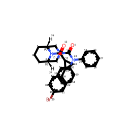 O=C(N1C[C@H]2CCC[C@@H](C1)N2C(=O)C1CC1c1ccc(Br)cc1)N(c1ccccc1)c1ccccc1